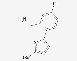 CC(C)(C)c1ccc(-c2ccc(Cl)cc2CN)s1